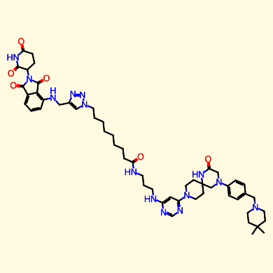 CC1(C)CCN(Cc2ccc(N3CC(=O)NC4(CCN(c5cc(NCCCNC(=O)CCCCCCCCn6cc(CNc7cccc8c7C(=O)N(C7CCC(=O)NC7=O)C8=O)nn6)ncn5)CC4)C3)cc2)CC1